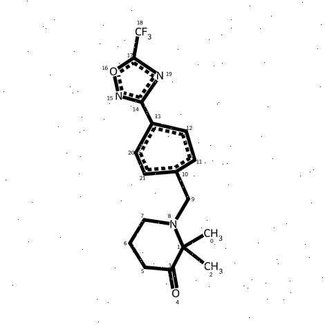 CC1(C)C(=O)CCCN1Cc1ccc(-c2noc(C(F)(F)F)n2)cc1